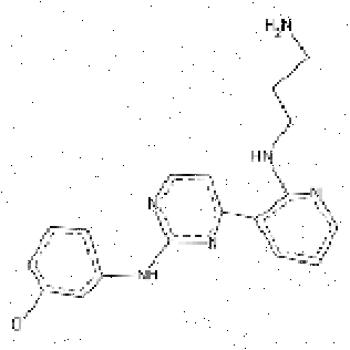 NCCCNc1ncccc1-c1ccnc(Nc2cccc(Cl)c2)n1